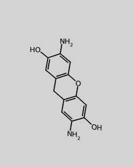 Nc1cc2c(cc1O)Cc1cc(N)c(O)cc1O2